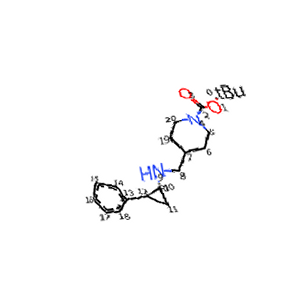 CC(C)(C)OC(=O)N1CCC(CN[C@@H]2CC2c2ccccc2)CC1